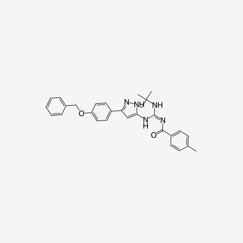 Cc1ccc(C(=O)/N=C(\Nc2cc(-c3ccc(OCc4ccccc4)cc3)n[nH]2)NC(C)(C)C)cc1